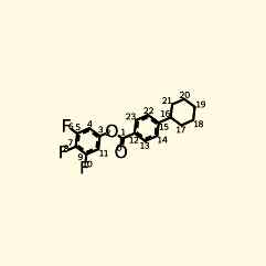 O=C(Oc1cc(F)c(F)c(F)c1)c1ccc(C2CCCCC2)cc1